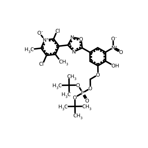 Cc1c(Cl)c(C)[n+]([O-])c(Cl)c1-c1noc(-c2cc(OCOP(=O)(OC(C)(C)C)OC(C)(C)C)c(O)c([N+](=O)[O-])c2)n1